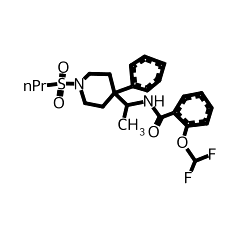 CCCS(=O)(=O)N1CCC(c2ccccc2)(C(C)NC(=O)c2ccccc2OC(F)F)CC1